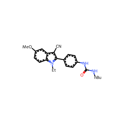 CCCCNC(=O)Nc1ccc(-c2c(C#N)c3cc(OC)ccc3n2CC)cc1